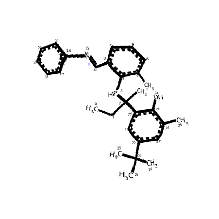 CCC(C)(Pc1c(C)cccc1/C=N/c1ccccc1)c1cc(C(C)(C)C)cc(C)c1O